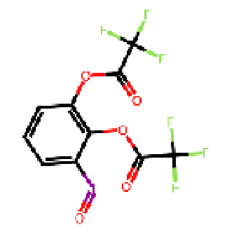 O=Ic1cccc(OC(=O)C(F)(F)F)c1OC(=O)C(F)(F)F